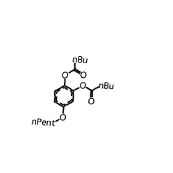 CCCCCOc1ccc(OC(=O)CCCC)c(OC(=O)CCCC)c1